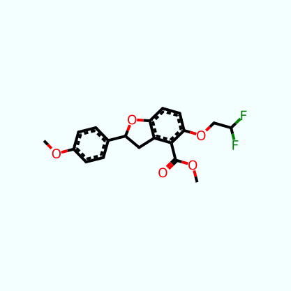 COC(=O)c1c(OCC(F)F)ccc2c1CC(c1ccc(OC)cc1)O2